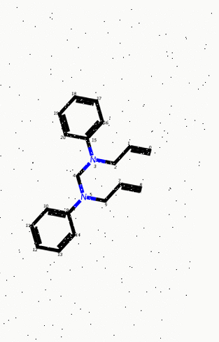 C=CCN(CN(CC=C)c1ccccc1)c1ccccc1